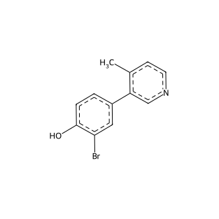 Cc1ccncc1-c1ccc(O)c(Br)c1